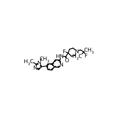 Cc1ncc(-c2ccc3cnc(NC(=O)C4(F)CCN(CC(C)(C)F)CC4)cc3c2)n1C